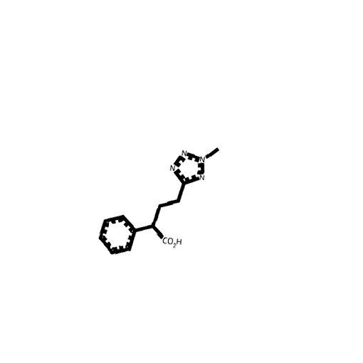 Cn1nnc(CCC(C(=O)O)c2ccccc2)n1